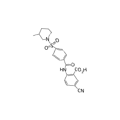 CC1CCCN(S(=O)(=O)c2ccc(C(=O)Nc3ccc(C#N)cc3C(=O)O)cc2)C1